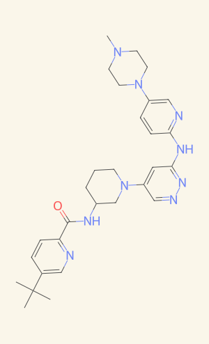 CN1CCN(c2ccc(Nc3cc(N4CCCC(NC(=O)c5ccc(C(C)(C)C)cn5)C4)cnn3)nc2)CC1